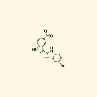 CC1(C)c2cc(Br)ccc2NC1c1c[nH]c2ccc([N+](=O)[O-])cc12